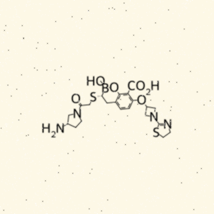 NC1CCN(C(=O)CS[C@H]2Cc3ccc(OC4CN(C5=NCCS5)C4)c(C(=O)O)c3OB2O)C1